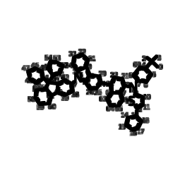 CC(C)(C)c1ccc(N(c2ccc(-c3ccccc3)s2)c2ccc(-c3ccc4c(c3)c3ccccc3n4-c3ccc4c(c3)C(c3ccccc3)(c3ccccc3)c3ccccc3-4)c3ccccc23)cc1